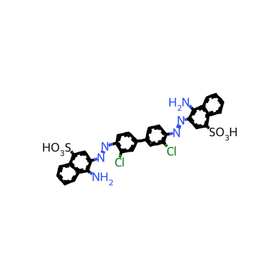 Nc1c(/N=N/c2ccc(-c3ccc(/N=N/c4cc(S(=O)(=O)O)c5ccccc5c4N)c(Cl)c3)cc2Cl)cc(S(=O)(=O)O)c2ccccc12